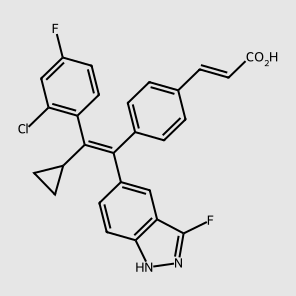 O=C(O)/C=C/c1ccc(/C(=C(\c2ccc(F)cc2Cl)C2CC2)c2ccc3[nH]nc(F)c3c2)cc1